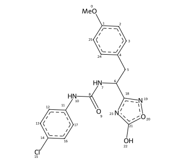 COc1ccc(CC(NC(=O)Nc2ccc(Cl)cc2)c2noc(O)n2)cc1